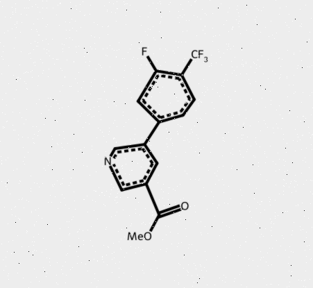 COC(=O)c1cncc(-c2ccc(C(F)(F)F)c(F)c2)c1